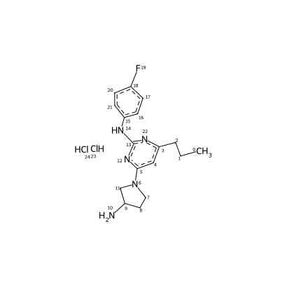 CCCc1cc(N2CCC(N)C2)nc(Nc2ccc(F)cc2)n1.Cl.Cl